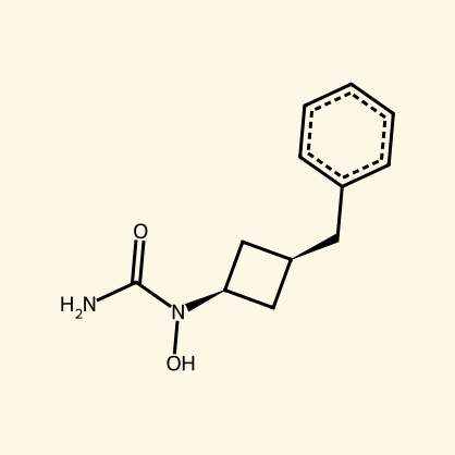 NC(=O)N(O)[C@H]1C[C@@H](Cc2ccccc2)C1